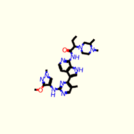 CCC(C(=O)Nc1nccc2c(-c3nc(Nc4cn(C)nc4OC)ncc3C)c[nH]c12)N1CCN(C)C(C)C1